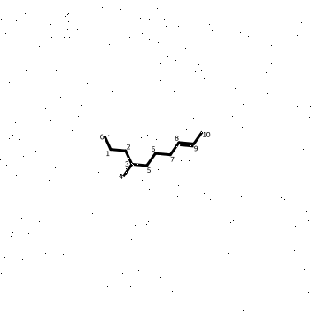 [CH2]CCC(C)CCC/C=C/C